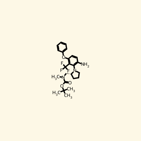 CN(C[C@H]1CCCN1c1c(N)ccc(Oc2ccccc2)c1C(F)(F)F)C(=O)OC(C)(C)C